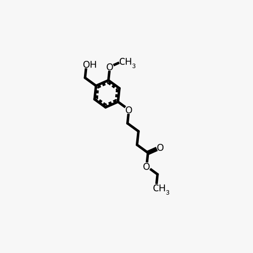 CCOC(=O)CCCOc1ccc(CO)c(OC)c1